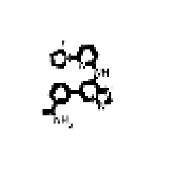 C=C(N)c1cccc(-c2cc(Nc3cccc(N4CCC[C@@H]4C)n3)c3ncnn3c2)c1